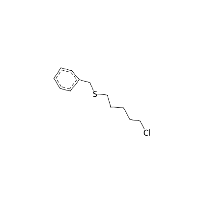 ClCCCCCSCc1ccccc1